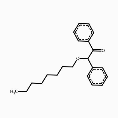 CCCCCCCCOC(C(=O)c1ccccc1)c1ccccc1